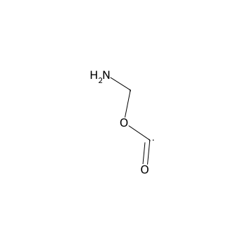 NCO[C]=O